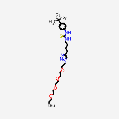 CCCC(C)(C)c1ccc(NC(=S)NCCCCc2cn(CCOCCOCCOCCOCCC(C)(C)C)nn2)cc1